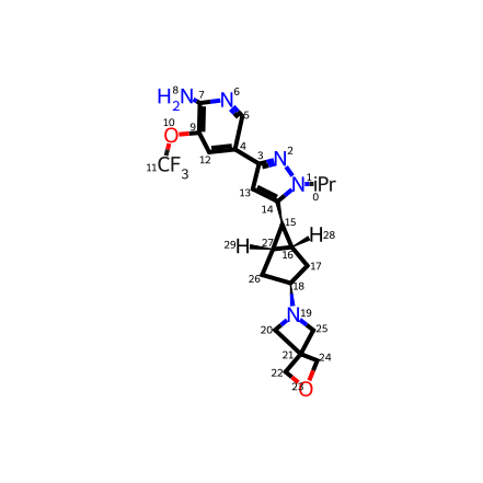 CC(C)n1nc(-c2cnc(N)c(OC(F)(F)F)c2)cc1[C@H]1[C@@H]2C[C@@H](N3CC4(COC4)C3)C[C@@H]21